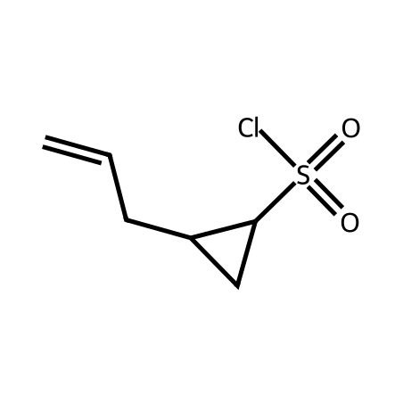 C=CCC1CC1S(=O)(=O)Cl